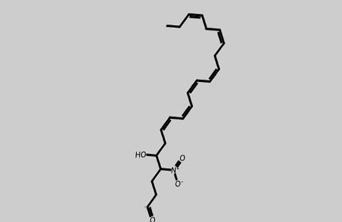 CC/C=C\C/C=C\C\C=C/C=C\C=C/C=C\CC(O)C(CC[C]=O)[N+](=O)[O-]